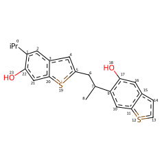 CC(C)c1cc2cc(CC(C)c3cc4sccc4cc3O)sc2cc1O